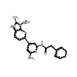 CCCCn1c(C)nc2ccc(-c3cc(N)nc(NC(=O)Cc4ccccc4)c3)nc21